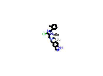 CCCCn1c(-c2ccccc2C)nc(Cl)c1CN(Cc1ccc2[nH]ncc2c1)CC(C)(C)C